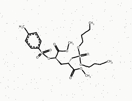 CCCCOP(=O)(C[C@@H](C[C@@H](OS(=O)(=O)c1ccc(C)cc1)C(=O)OC)C(=O)OC)OCCCC